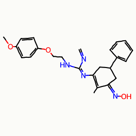 C=N/C(=N\C1=C(C)C(=N/O)/CC(c2ccccc2)C1)NCCOc1ccc(OC)cc1